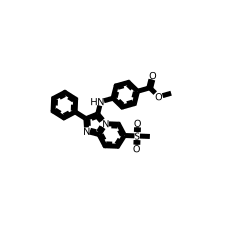 COC(=O)c1ccc(Nc2c(-c3ccccc3)nc3ccc(S(C)(=O)=O)cn23)cc1